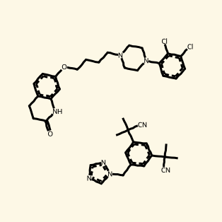 CC(C)(C#N)c1cc(Cn2cncn2)cc(C(C)(C)C#N)c1.O=C1CCc2ccc(OCCCCN3CCN(c4cccc(Cl)c4Cl)CC3)cc2N1